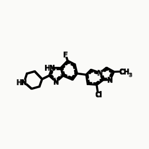 Cc1cn2cc(-c3cc(F)c4[nH]c(C5CCNCC5)nc4c3)cc(Cl)c2n1